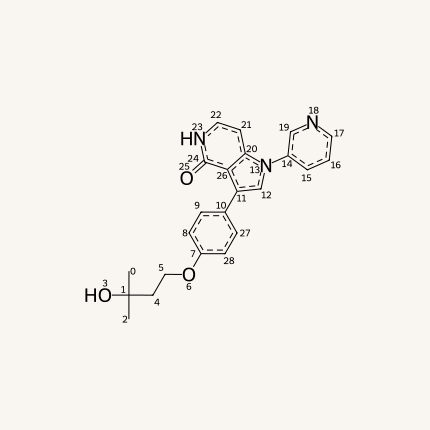 CC(C)(O)CCOc1ccc(-c2cn(-c3cccnc3)c3cc[nH]c(=O)c23)cc1